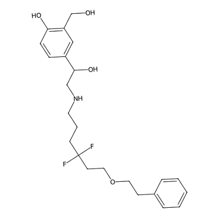 OCc1cc(C(O)CNCCCC(F)(F)CCOCCc2ccccc2)ccc1O